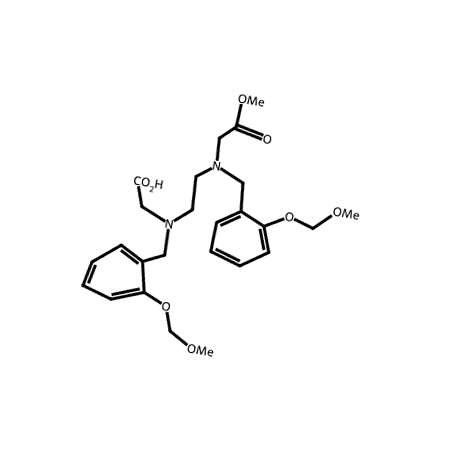 COCOc1ccccc1CN(CCN(CC(=O)OC)Cc1ccccc1OCOC)CC(=O)O